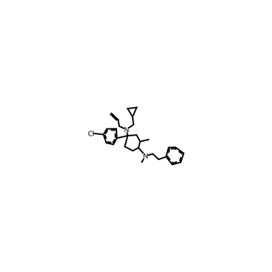 C=CCN(CC1CC1)C1(c2ccc(Cl)cc2)CCC(N(C)CCc2ccccc2)C(C)C1